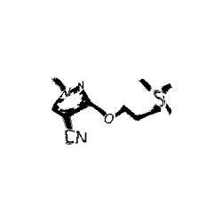 Cn1cc(C#N)c(OCC[Si](C)(C)C)n1